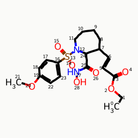 CCOC(=O)C=CC1CCCCN(S(=O)(=O)c2ccc(OC)cc2)C1C(=O)NO